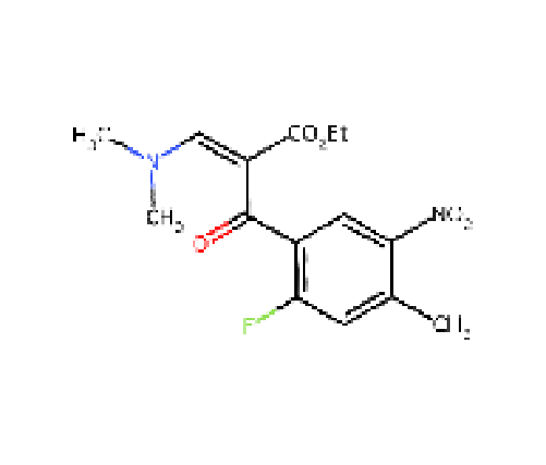 CCOC(=O)/C(=C/N(C)C)C(=O)c1cc([N+](=O)[O-])c(C)cc1F